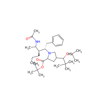 CCC[C@@H](C(C)NC(C)=O)[C@H](Cc1ccccc1)N1CC(C(O[SiH](C)C)C(C)(C)C)CC1C(=O)OC(C)(C)C